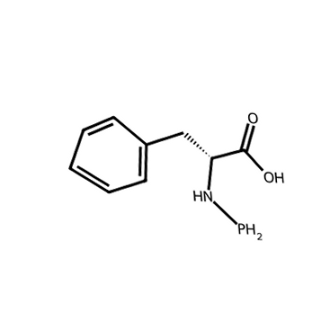 O=C(O)[C@@H](Cc1ccccc1)NP